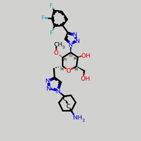 CO[C@@H]1[C@@H](n2cc(-c3ccc(F)c(F)c3F)nn2)[C@@H](O)[C@@H](CO)O[C@@H]1Cc1cn(C23CCC(N)(CC2)CC3)nn1